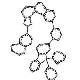 c1ccc(C2(c3ccccc3)c3ccccc3-c3ccc(-c4cccc(-c5ccc6ccc7ccc8nc(-c9ccc%10cnccc%10c9)oc8c7c6c5)c4)cc32)cc1